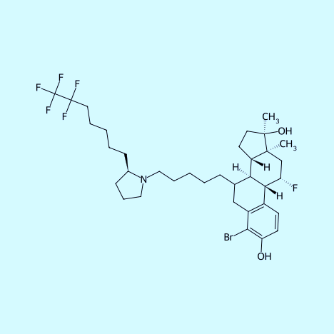 C[C@]12C[C@H](F)[C@@H]3c4ccc(O)c(Br)c4CC(CCCCCN4CCC[C@H]4CCCCCC(F)(F)C(F)(F)F)[C@H]3[C@@H]1CC[C@@]2(C)O